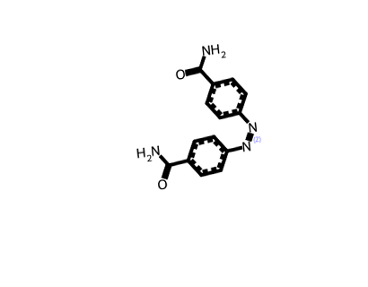 NC(=O)c1ccc(/N=N\c2ccc(C(N)=O)cc2)cc1